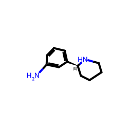 Nc1cccc([C@@H]2CCCCN2)c1